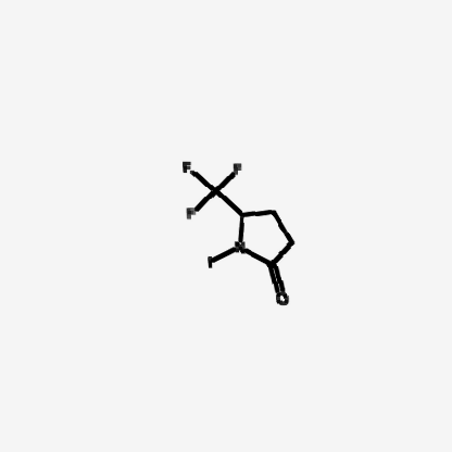 O=C1CCC(C(F)(F)F)N1I